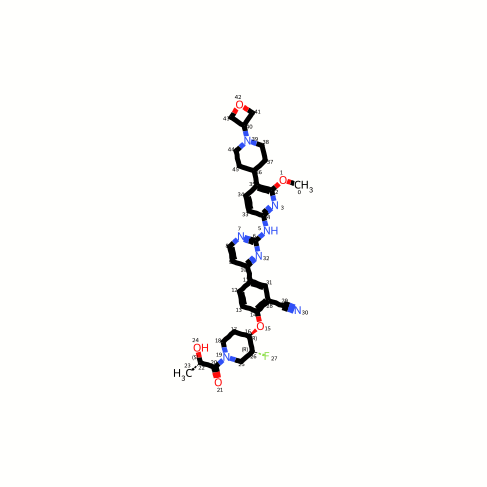 COc1nc(Nc2nccc(-c3ccc(O[C@@H]4CCN(C(=O)[C@H](C)O)C[C@H]4F)c(C#N)c3)n2)ccc1C1CCN(C2COC2)CC1